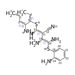 C=C/C=C(N)\C(=C/C)S/C(N)=C(C#N)/C(N)=C(\N)Sc1ccccc1N